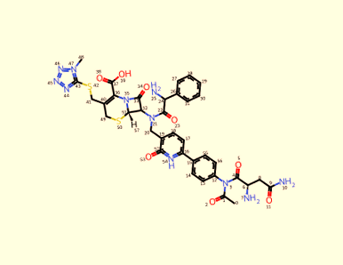 CC(=O)N(C(=O)[C@H](N)CC(N)=O)c1ccc(-c2ccc(CN(C(=O)C(N)c3ccccc3)C3C(=O)N4C(C(=O)O)=C(CSc5nnnn5C)CS[C@@H]34)c(=O)[nH]2)cc1